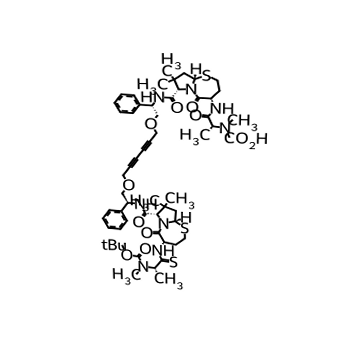 C[C@@H](C(=O)N[C@H]1CCS[C@H]2CC(C)(C)[C@@H](C(=O)N[C@H](COCC#CC#CCOC[C@@H](NC(=O)[C@H]3N4C(=O)[C@@H](NC(=S)[C@H](C)N(C)C(=O)OC(C)(C)C)CCS[C@H]4CC3(C)C)c3ccccc3)c3ccccc3)N2C1=O)N(C)C(=O)O